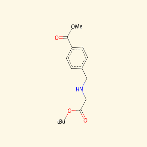 COC(=O)c1ccc(CNCC(=O)OC(C)(C)C)cc1